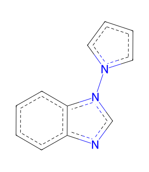 c1ccc2c(c1)ncn2-n1cccc1